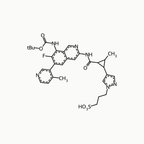 Cc1ccncc1-c1cc2cc(NC(=O)C3C(C)C3c3cnn(CCCS(=O)(=O)O)c3)ncc2c(NC(=O)OC(C)(C)C)c1F